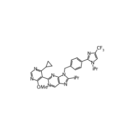 COc1ncnc(C2CC2)c1-c1ncc2nc(C(C)C)n(Cc3ccc(-c4nc(C(F)(F)F)cn4C(C)C)cc3)c2n1